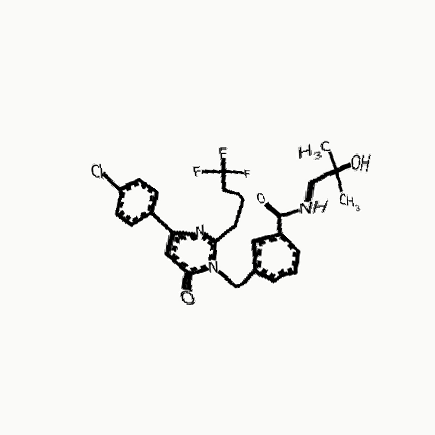 CC(C)(O)CNC(=O)c1cccc(Cn2c(CCCC(F)(F)F)nc(-c3ccc(Cl)cc3)cc2=O)c1